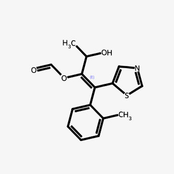 Cc1ccccc1/C(=C(\OC=O)C(C)O)c1cncs1